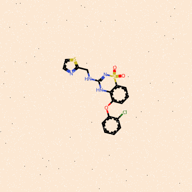 O=S1(=O)N=C(NCc2nccs2)Nc2c(Oc3ccccc3Cl)cccc21